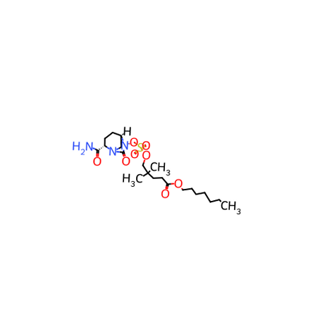 CCCCCCCOC(=O)CCC(C)(C)COS(=O)(=O)ON1C(=O)N2C[C@H]1CC[C@H]2C(N)=O